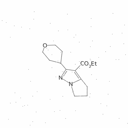 CCOC(=O)c1c(C2CCOCC2)nn2c1CCC2